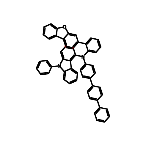 c1ccc(-c2ccc(-c3ccc(N(c4ccccc4-c4ccc5c(c4)oc4ccccc45)c4cccc5c4c4ccccc4n5-c4ccccc4)cc3)cc2)cc1